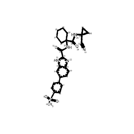 CS(=O)(=O)c1ccc(-c2ccc3nc(C(=O)NC4(C(=O)NC5(C#N)CC5)CCCCC4)[nH]c3c2)cc1